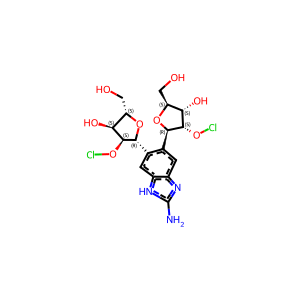 Nc1nc2cc([C@H]3O[C@@H](CO)[C@H](O)[C@@H]3OCl)c([C@H]3O[C@@H](CO)[C@H](O)[C@@H]3OCl)cc2[nH]1